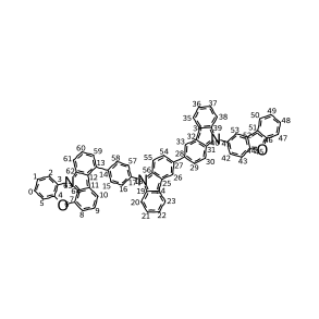 c1ccc2c(c1)Oc1cccc3c4c(-c5ccc(-n6c7ccccc7c7cc(-c8ccc9c(c8)c8ccccc8n9-c8ccc9oc%10ccccc%10c9c8)ccc76)cc5)cccc4n-2c13